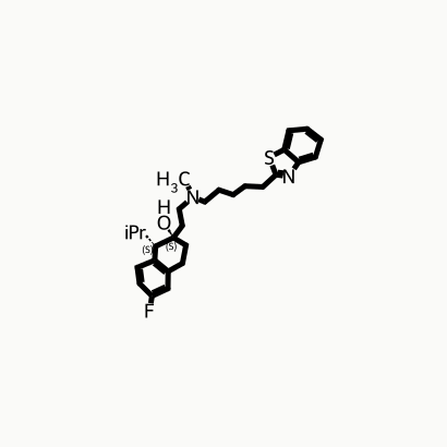 CC(C)[C@H]1c2ccc(F)cc2CC[C@]1(O)CCN(C)CCCCCc1nc2ccccc2s1